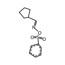 O=S(=O)(O/N=C/C1CCCC1)c1ccccc1